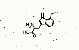 CCc1cccc2c(CC(N)C(=O)O)c[nH]c12